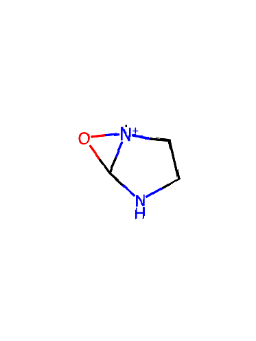 C1C[N+]2OC2N1